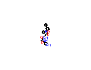 CC(C)CC(NC(=O)C1CCNCC1)C(=O)NCCCC(=O)C1Oc2ccc(-c3ccccc3)cc2N1c1ccccc1